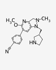 COc1nc2c(cc1-c1ccc(C#N)cc1)N(C[C@H]1CCNC1)N(C)C2